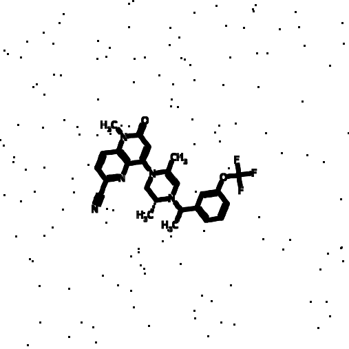 CC1=CN(C(C)c2cccc(OC(F)(F)F)c2)[C@H](C)CN1c1cc(=O)n(C)c2ccc(C#N)nc12